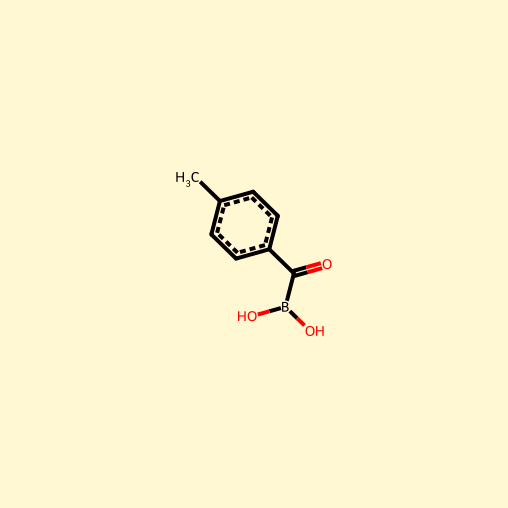 Cc1ccc(C(=O)B(O)O)cc1